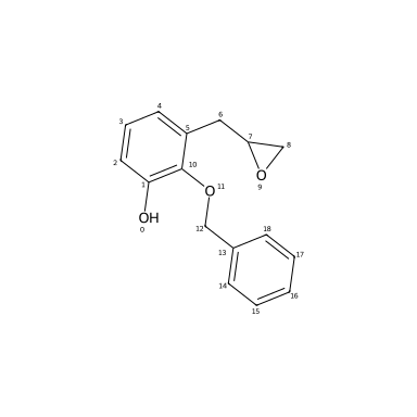 Oc1cccc(CC2CO2)c1OCc1ccccc1